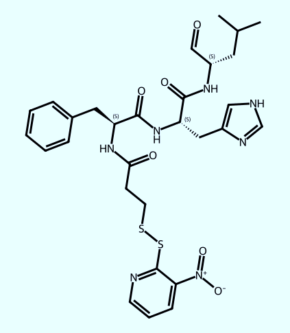 CC(C)C[C@@H](C=O)NC(=O)[C@H](Cc1c[nH]cn1)NC(=O)[C@H](Cc1ccccc1)NC(=O)CCSSc1ncccc1[N+](=O)[O-]